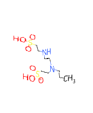 CCCN(CCNCCS(=O)(=O)O)CCS(=O)(=O)O